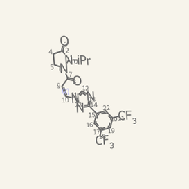 CC(C)N1C(=O)CCN1C(=O)/C=C\n1cnc(-c2cc(C(F)(F)F)cc(C(F)(F)F)c2)n1